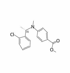 COC(=O)c1ccc(N(C)[C@@H](C)c2ccccc2Cl)cc1